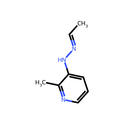 C/C=N/Nc1cccnc1C